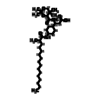 CCCCCCCCCCCCCCC(C)C(=O)NC1CCC(C(CC(=O)O)NC(=O)C2OC(C)(C)OCC2(C)C)CC1